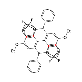 CCOc1cc(P(c2ccccc2)c2ccccc2)c(-c2c(P(c3ccccc3)c3ccccc3)cc(OCC)c3c2OC(F)(F)O3)c2c1OC(F)(F)O2